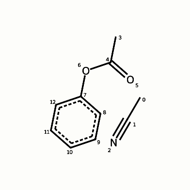 CC#N.CC(=O)Oc1ccccc1